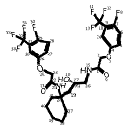 O=C(COc1ccc(F)c(C(F)(F)F)c1)NC[C@@H](O)CC1(NC(=O)COc2ccc(F)c(C(F)(F)F)c2)CCCCC1